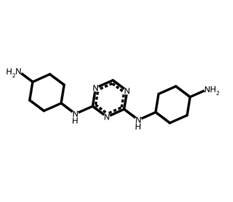 NC1CCC(Nc2ncnc(NC3CCC(N)CC3)n2)CC1